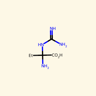 CCC(N)(NC(=N)N)C(=O)O